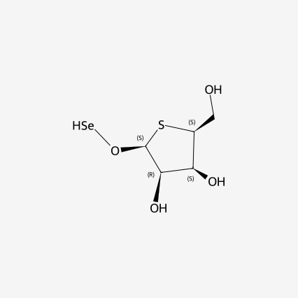 OC[C@@H]1S[C@H](O[SeH])[C@H](O)[C@@H]1O